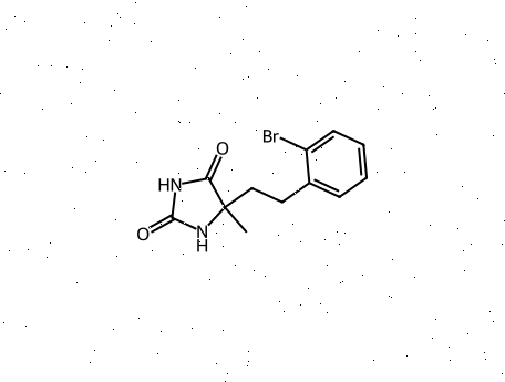 CC1(CCc2ccccc2Br)NC(=O)NC1=O